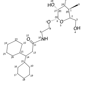 C[C@H]1C(CO)O[C@H](OCCNC(=O)CC(C2CCCCC2)C2CCCCC2)[C@H](O)C1O